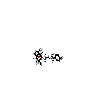 C=C[C@@]1(C)C[C@@H](OC(=O)COS(=O)(=O)c2ccc(C)cc2)[C@]2(C)[C@H](C)CC[C@]3(CCC(O)[C@H]32)[C@@H](C)[C@@H]1C